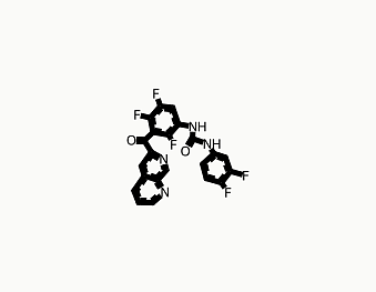 O=C(Nc1ccc(F)c(F)c1)Nc1cc(F)c(F)c(C(=O)c2cc3cccnc3cn2)c1F